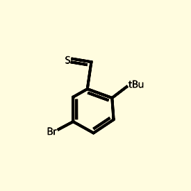 CC(C)(C)c1ccc(Br)cc1C=S